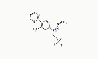 C=N/N=C(/CC1CC1(F)F)N1C=CC(c2ncccn2)=C(C(F)(F)F)C1